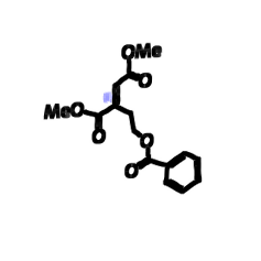 COC(=O)/C=C(\CCOC(=O)c1ccccc1)C(=O)OC